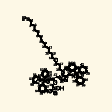 CC(C)CCCCCCCCCCCCCCOCCCN1C=NC(NC(c2ccccc2)(c2ccccc2)c2ccccc2)c2ncn(C[C@@H](COC(c3ccccc3)(c3ccccc3)c3ccccc3)OCP(=O)(O)O)c21